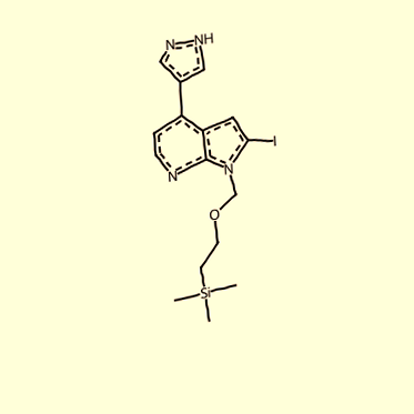 C[Si](C)(C)CCOCn1c(I)cc2c(-c3cn[nH]c3)ccnc21